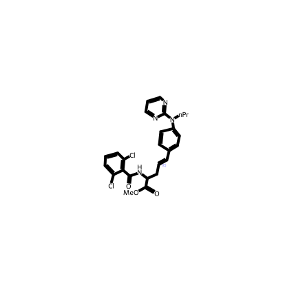 CCCN(c1ccc(/C=C/CC(NC(=O)c2c(Cl)cccc2Cl)C(=O)OC)cc1)c1ncccn1